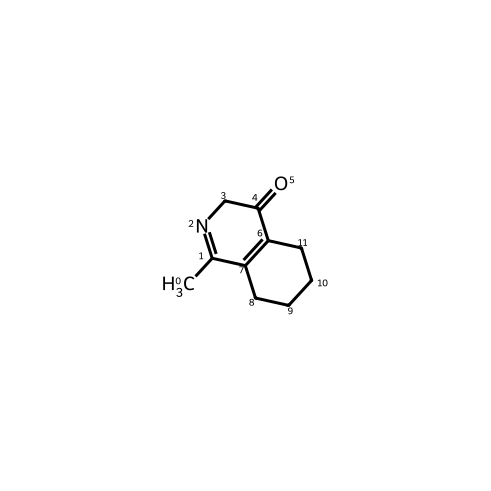 CC1=NCC(=O)C2=C1CCCC2